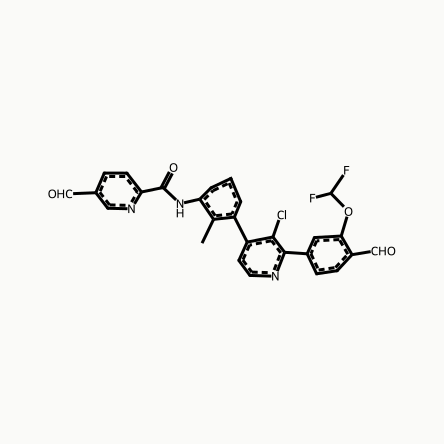 Cc1c(NC(=O)c2ccc(C=O)cn2)cccc1-c1ccnc(-c2ccc(C=O)c(OC(F)F)c2)c1Cl